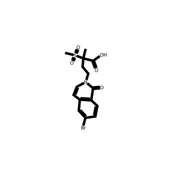 CC(CCn1ccc2cc(Br)ccc2c1=O)(C(=O)O)S(C)(=O)=O